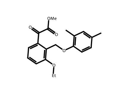 CCOc1cccc(C(=O)C(=O)OC)c1COc1ccc(C)cc1C